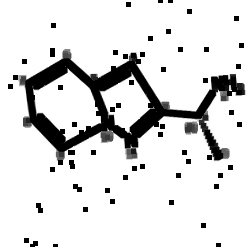 C[C@@H](N)c1cc2ccccn2n1